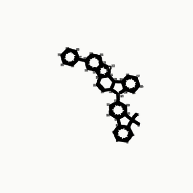 CC1(C)c2ccccc2-c2ccc(N3c4ccccc4C4c5oc6ccc(-c7ccccc7)cc6c5C=CC43)cc21